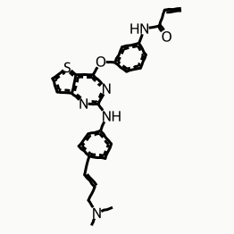 C=CC(=O)Nc1cccc(Oc2nc(Nc3ccc(/C=C/CN(C)C)cc3)nc3ccsc23)c1